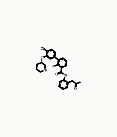 CC(=O)Cc1ccccc1NC(=O)c1cccc(-c2ccc(Cl)c(O[C@@H]3CCCNC3)c2)c1F